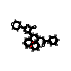 O=C1N=C(N2CCOCC2)S/C1=C(/C=C(/CC(=O)c1ccccc1)c1ccccc1)c1ccccc1